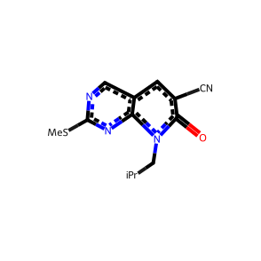 CSc1ncc2cc(C#N)c(=O)n(CC(C)C)c2n1